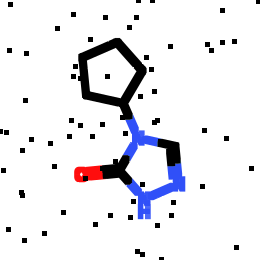 O=c1[nH]ncn1C1CCCC1